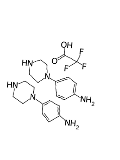 Nc1ccc(N2CCNCC2)cc1.Nc1ccc(N2CCNCC2)cc1.O=C(O)C(F)(F)F